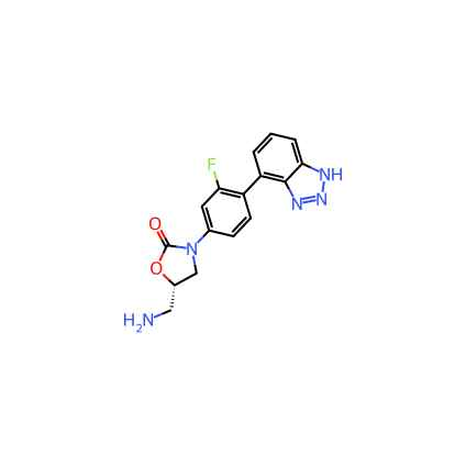 NC[C@H]1CN(c2ccc(-c3cccc4[nH]nnc34)c(F)c2)C(=O)O1